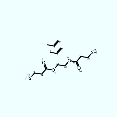 C=CC.C=CC.O=C(CCS)OCCOC(=O)CCS